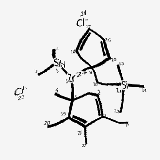 CC1=C[C](C)([Zr+2]([SiH](C)C)[C]2(C[Si](C)(C)C)C=CC=C2)C(C)=C1C.[Cl-].[Cl-]